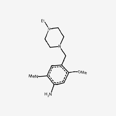 CCN1CCN(Cc2cc(NC)c(N)cc2OC)CC1